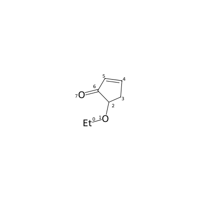 CCOC1CC=CC1=O